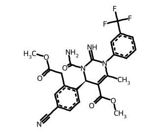 COC(=O)Cc1cc(C#N)ccc1[C@@H]1C(C(=O)OC)=C(C)N(c2cccc(C(F)(F)F)c2)C(=N)N1C(N)=O